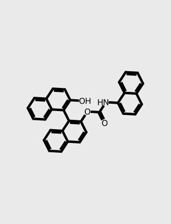 O=C(Nc1cccc2ccccc12)Oc1ccc2ccccc2c1-c1c(O)ccc2ccccc12